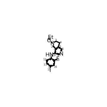 CCON1CCc2cncc(Nc3ccc(I)cc3F)c2C1